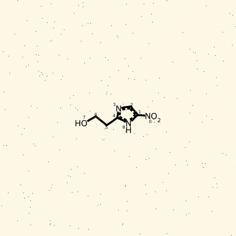 O=[N+]([O-])c1cnc(CCO)[nH]1